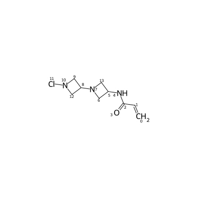 C=CC(=O)NC1CN(C2CN(Cl)C2)C1